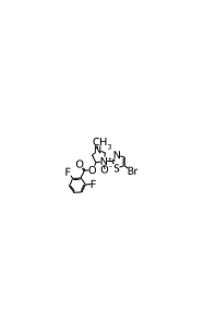 CN1CC(OC(=O)c2c(F)cccc2F)[N+]([O-])(c2ncc(Br)s2)C1